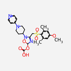 COc1cc(C)c(S(=O)(=O)CC2=NC(OC(=O)O)ON2C2CCN(c3ccncc3)CC2)c(C)c1